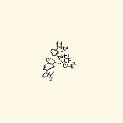 Cc1ccc2c(c1)C(CC(O)(CNc1cccc3[nH]ncc13)C(F)(F)F)CCO2